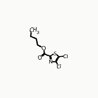 CCCCOC(=O)c1nc(Cl)c(Cl)s1